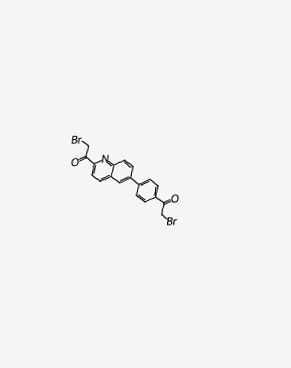 O=C(CBr)c1ccc(-c2ccc3nc(C(=O)CBr)ccc3c2)cc1